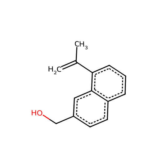 C=C(C)c1cccc2ccc(CO)cc12